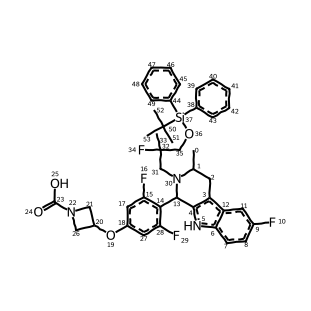 CC1Cc2c([nH]c3ccc(F)cc23)C(c2c(F)cc(OC3CN(C(=O)O)C3)cc2F)N1CC(C)(F)CO[Si](c1ccccc1)(c1ccccc1)C(C)(C)C